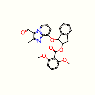 COc1cccc(OC)c1C(=O)OC1Cc2ccccc2C1Oc1cccn2c(C=O)c(C)nc12